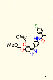 COCCOc1cc2ncnc(-c3ccc(NC(=O)C(C)c4ccc(F)cc4)cc3)c2cc1OCCOC